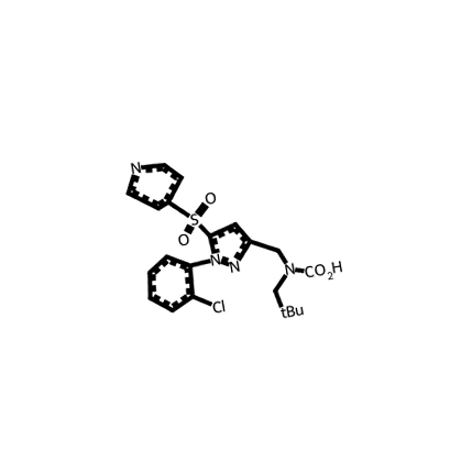 CC(C)(C)CN(Cc1cc(S(=O)(=O)c2ccncc2)n(-c2ccccc2Cl)n1)C(=O)O